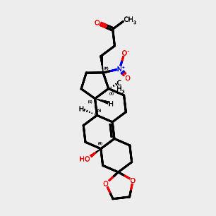 CC(=O)CC[C@]1([N+](=O)[O-])CC[C@H]2[C@@H]3CC[C@@]4(O)CC5(CCC4=C3CC[C@@]21C)OCCO5